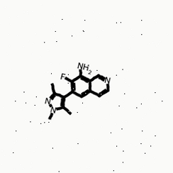 Cc1nn(C)c(C)c1-c1cc2ccncc2c(N)c1F